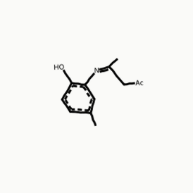 CC(=O)CC(C)=Nc1cc(C)ccc1O